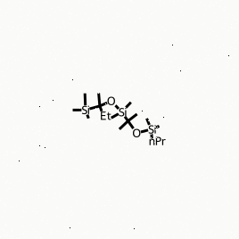 CCC[Si](C)(C)OC(C)(C)[Si](C)(C)OC(C)(CC)[Si](C)(C)C